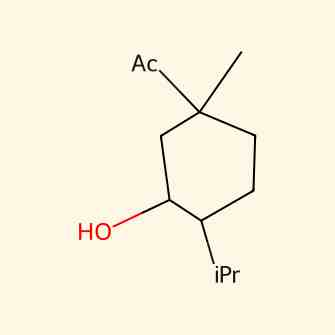 CC(=O)C1(C)CCC(C(C)C)C(O)C1